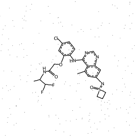 Cc1cc(N=S2(=O)CCC2)cc2ncnc(Nc3ccc(Cl)cc3OCC(=O)NC(C)C(F)F)c12